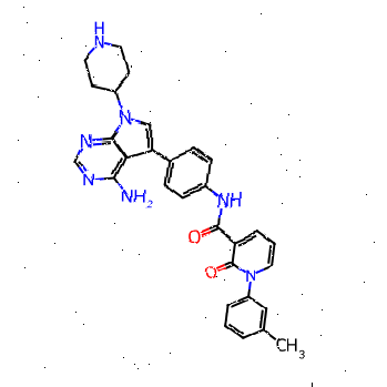 Cc1cccc(-n2cccc(C(=O)Nc3ccc(-c4cn(C5CCNCC5)c5ncnc(N)c45)cc3)c2=O)c1